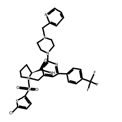 NC(=O)[C@@H]1CCC[N+]1(Cc1cc(-c2ccc(C(F)(F)F)cc2)nc(N2CCN(Cc3ccccn3)CC2)c1)S(=O)(=O)c1ccc(Cl)s1